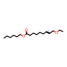 CCCCCCOC(=O)CCCCC/C=C/COCC